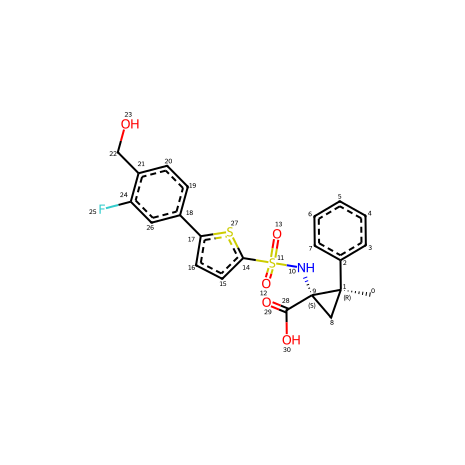 C[C@]1(c2ccccc2)C[C@@]1(NS(=O)(=O)c1ccc(-c2ccc(CO)c(F)c2)s1)C(=O)O